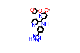 COc1ccc(C(Nc2ccc(-c3nn[nH]n3)cc2)c2cccnc2)nc1OC1CCOC1